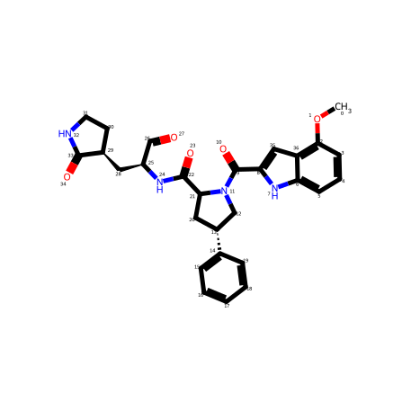 COc1cccc2[nH]c(C(=O)N3C[C@H](c4ccccc4)CC3C(=O)N[C@H](C=O)C[C@@H]3CCNC3=O)cc12